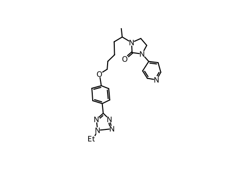 CCn1nnc(-c2ccc(OCCCCC(C)N3CCN(c4ccncc4)C3=O)cc2)n1